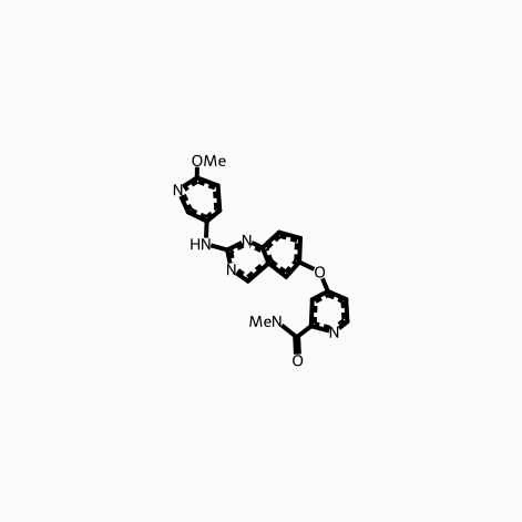 CNC(=O)c1cc(Oc2ccc3nc(Nc4ccc(OC)nc4)ncc3c2)ccn1